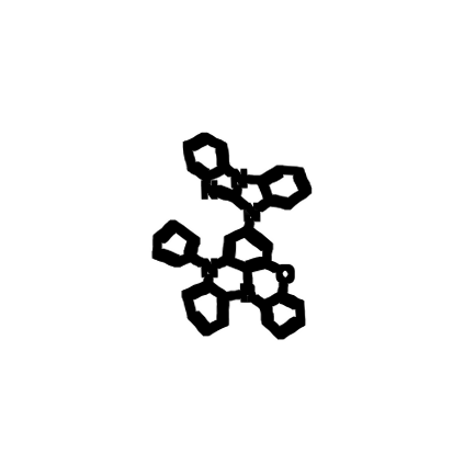 c1ccc(N2c3ccccc3B3c4ccccc4Oc4cc(-n5c6ccccc6n6c7ccccc7nc56)cc2c43)cc1